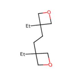 CCC1(CCC2(CC)COC2)COC1